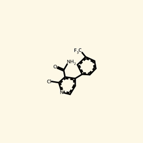 NC(=O)c1c(-c2cccc(C(F)(F)F)c2)ccnc1Cl